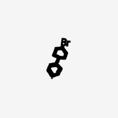 BrC1CCC(c2cc[c]cc2)CC1